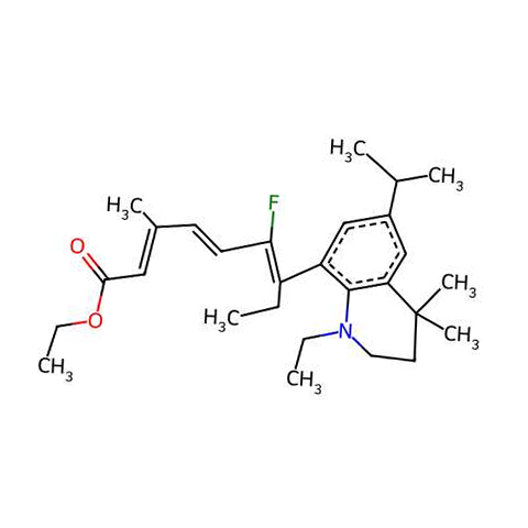 CCOC(=O)C=C(C)C=CC(F)=C(CC)c1cc(C(C)C)cc2c1N(CC)CCC2(C)C